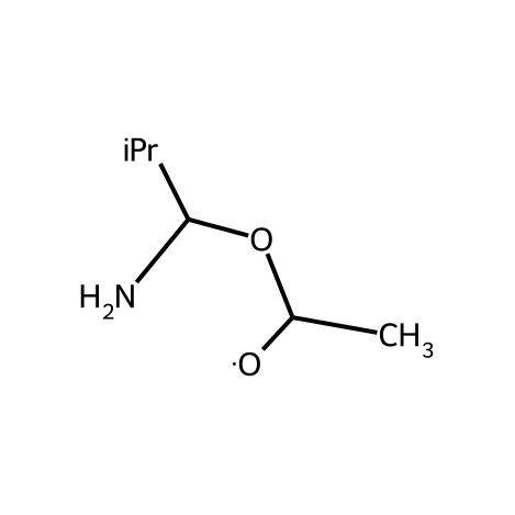 CC([O])OC(N)C(C)C